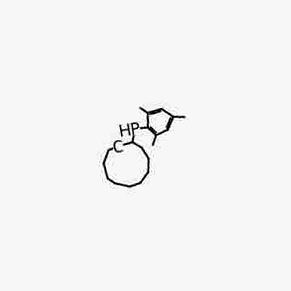 Cc1cc(C)c(PC2CCCCCCCCCC2)c(C)c1